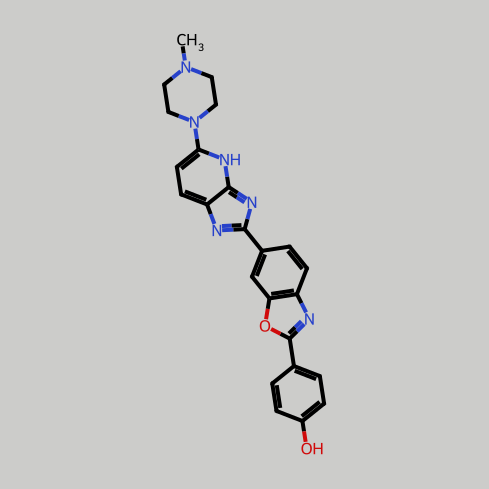 CN1CCN(c2ccc3nc(-c4ccc5nc(-c6ccc(O)cc6)oc5c4)nc-3[nH]2)CC1